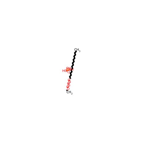 C=COOOOOOCCCCCCCCCCCCCCCCCC.O=P(O)(O)O